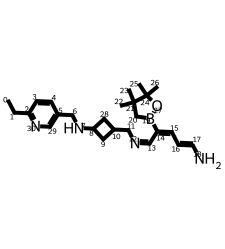 CCc1ccc(CNC2CC(C\N=C/C(=C\C=C\N)B3CC(C)(C)C(C)(C)O3)C2)cn1